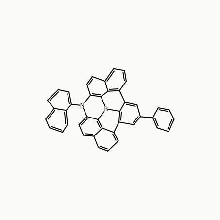 c1ccc(-c2cc3c4c(c2)-c2cccc5ccc6c(c25)B4c2c(ccc4cccc-3c24)N6c2cccc3ccccc23)cc1